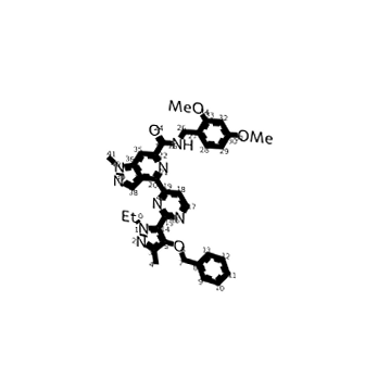 CCn1nc(C)c(OCc2ccccc2)c1-c1nccc(-c2nc(C(=O)NCc3ccc(OC)cc3OC)cc3c2cnn3C)n1